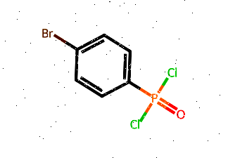 O=P(Cl)(Cl)c1ccc(Br)cc1